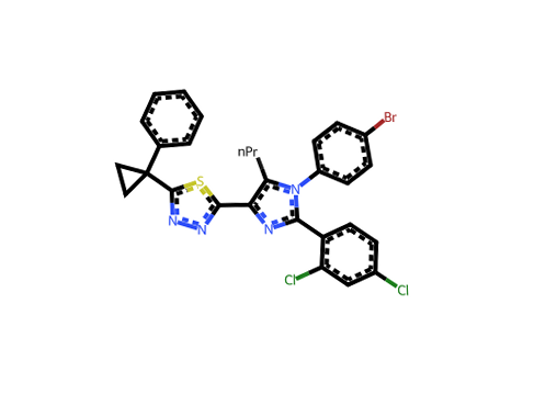 CCCc1c(-c2nnc(C3(c4ccccc4)CC3)s2)nc(-c2ccc(Cl)cc2Cl)n1-c1ccc(Br)cc1